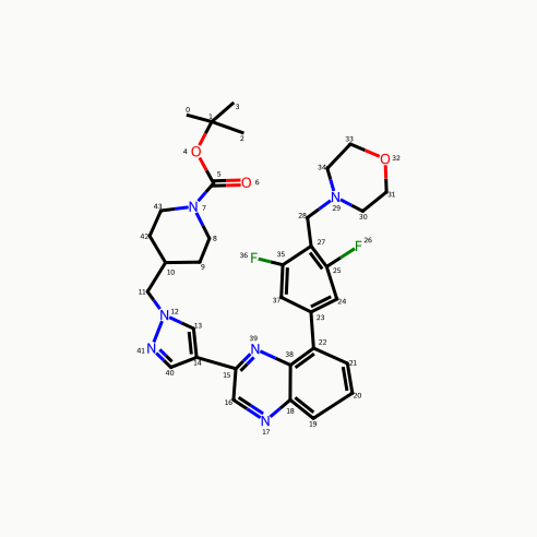 CC(C)(C)OC(=O)N1CCC(Cn2cc(-c3cnc4cccc(-c5cc(F)c(CN6CCOCC6)c(F)c5)c4n3)cn2)CC1